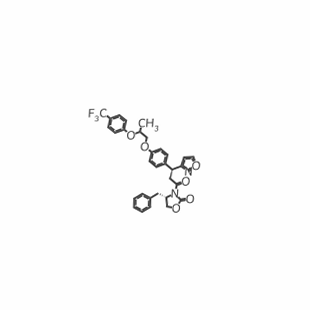 CC(COc1ccc([C@H](CC(=O)N2C(=O)OC[C@@H]2Cc2ccccc2)c2ccon2)cc1)Oc1ccc(C(F)(F)F)cc1